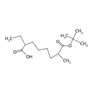 CCC(CCCCC(C)C(=O)OC(C)(C)C)C(=O)O